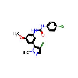 COc1cc(NC(=O)Nc2ccc(Br)cc2)cc(-c2c(Br)cnn2C)c1